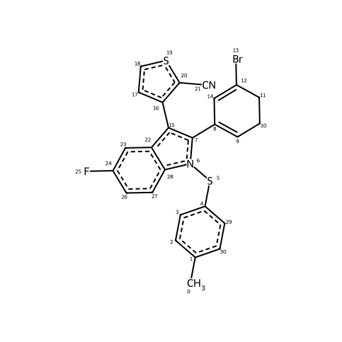 Cc1ccc(Sn2c(C3=CCCC(Br)=C3)c(-c3ccsc3C#N)c3cc(F)ccc32)cc1